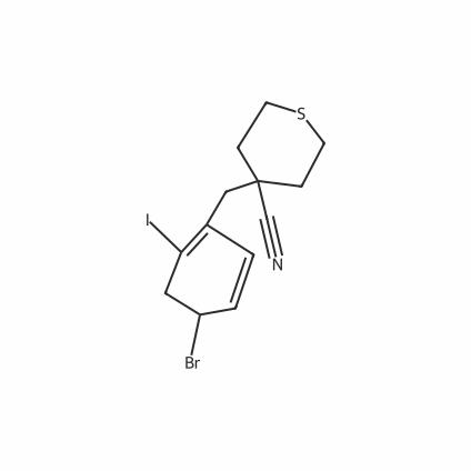 N#CC1(CC2=C(I)CC(Br)C=C2)CCSCC1